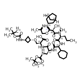 CCC[C@@H](C(=O)N[C@H](C(=O)N[C@@H](CNC(=O)OC(C)(C)C)C(=O)N[C@@H](CO[C@H]1C[C@H](NC(=O)OC(C)(C)C)C1)C(=O)O)C1CCCCCC1)N(C)C(=O)[C@H](C)/C(=C\[C@H]1C[C@H]2CC[C@@H](C1)C2)OCC(C)=N